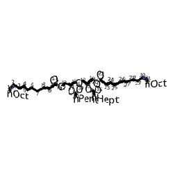 CCCCCCCC/C=C\CCCCCCCC(=O)OCC(COCC(COC(=O)CCCCCCC/C=C\CCCCCCCC)OC(=O)CCCCCCC)OC(=O)CCCCC